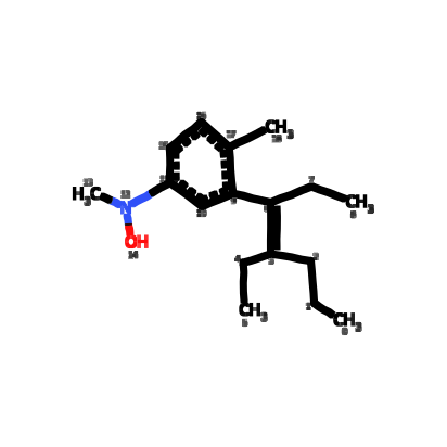 CCC/C(CC)=C(\CC)c1cc(N(C)O)ccc1C